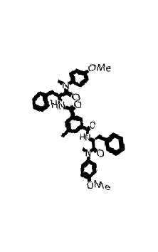 COc1ccc(N(C)C(=O)C(Cc2ccccc2)NC(=O)c2cc(C)cc(C(=O)N[C@@H](Cc3ccccc3)C(=O)N(C)c3ccc(OC)cc3)c2)cc1